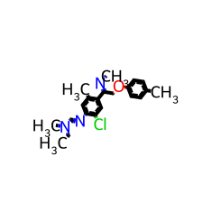 CCN(C)C=Nc1cc(C)c(C(COc2ccc(C)cc2)=NC)cc1Cl